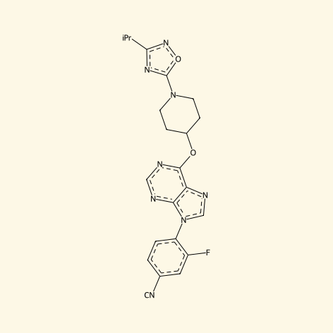 [C-]#[N+]c1ccc(-n2cnc3c(OC4CCN(c5nc(C(C)C)no5)CC4)ncnc32)c(F)c1